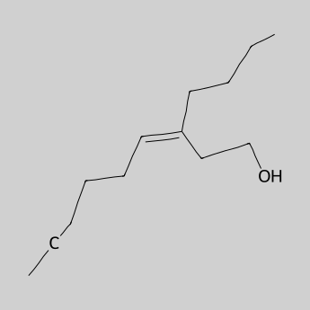 CCCCCC=C(CCO)CCCC